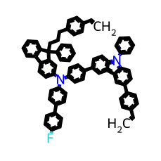 C=Cc1ccc(CCCC2(c3ccccc3)c3ccccc3-c3ccc(N(c4ccc(-c5ccc(F)cc5)cc4)c4ccc(-c5ccc6c(c5)c5cc(-c7ccc(C=C)cc7)ccc5n6-c5ccccc5)cc4)cc32)cc1